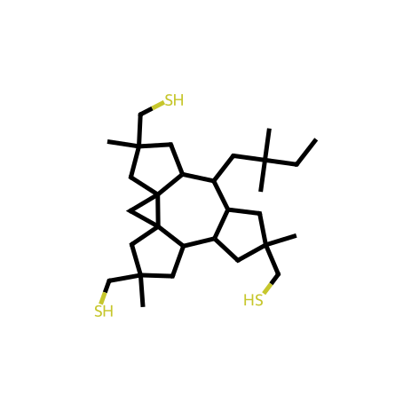 CCC(C)(C)CC1C2CC(C)(CS)CC2C2CC(C)(CS)CC23CC32CC(C)(CS)CC12